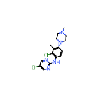 Cc1c(N2CCN(C)CC2)ccc(Nc2ncc(Cl)cn2)c1Cl